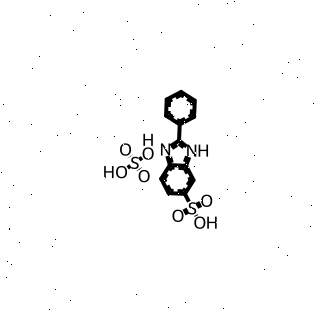 O=S(=O)(O)O.O=S(=O)(O)c1ccc2nc(-c3ccccc3)[nH]c2c1